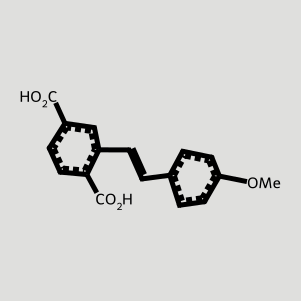 COc1ccc(C=Cc2cc(C(=O)O)ccc2C(=O)O)cc1